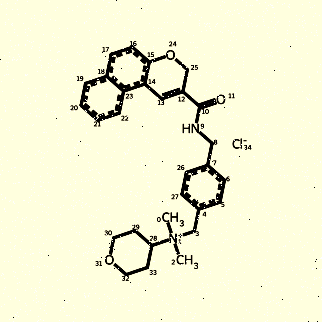 C[N+](C)(Cc1ccc(CNC(=O)C2=Cc3c(ccc4ccccc34)OC2)cc1)C1CCOCC1.[Cl-]